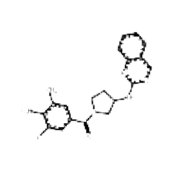 Cc1cc(C(=O)N2CCC(Nc3ncc4ccccc4n3)C2)cc(F)c1N